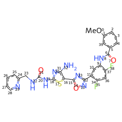 COc1cccc(C(=O)Nc2cc(-c3noc(-c4sc(NC(=O)NCc5ccccn5)nc4N)n3)c(F)cc2F)c1